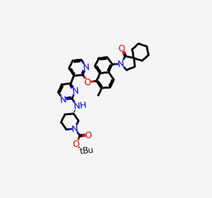 Cc1ccc2c(N3CCC4(CCCCC4)C3=O)cccc2c1Oc1ncccc1-c1ccnc(N[C@H]2CCCN(C(=O)OC(C)(C)C)C2)n1